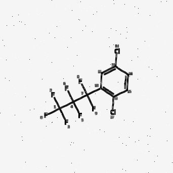 FC(F)(F)C(F)(F)C(F)(F)c1cc(Cl)ccc1Cl